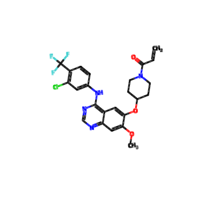 C=CC(=O)N1CCC(Oc2cc3c(Nc4ccc(C(F)(F)F)c(Cl)c4)ncnc3cc2OC)CC1